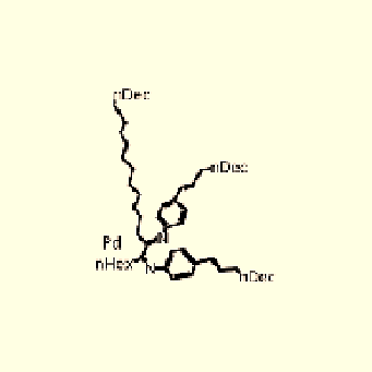 CCCCCCCCCCCC=Cc1ccc(N=C(CCCCCC)C(CCCCCCCCCCCCCCCCCCCCC)=Nc2ccc(C=CCCCCCCCCCCC)cc2)cc1.[Pd]